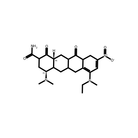 CCN(C)C1=C2CC3CC4[C@@H](CC3C(=O)C2CC([N+](=O)[O-])=C1)C(=O)C(C(N)=O)C[C@@H]4N(C)C